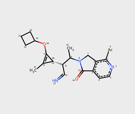 CC(=O)c1nccc2c1CN(C(C)C(C=N)[C@@H]1C(C)=C1OC1CCC1)C2=O